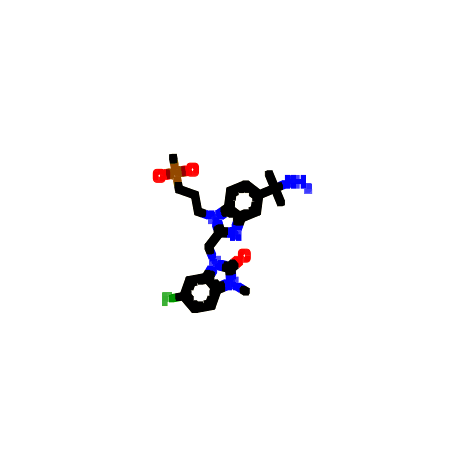 Cn1c(=O)n(Cc2nc3cc(C(C)(C)N)ccc3n2CCCS(C)(=O)=O)c2cc(F)ccc21